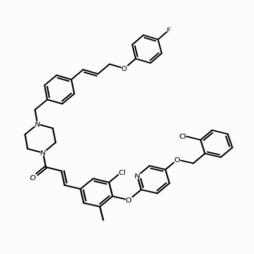 Cc1cc(C=CC(=O)N2CCN(Cc3ccc(C=CCOc4ccc(F)cc4)cc3)CC2)cc(Cl)c1Oc1ccc(OCc2ccccc2Cl)cn1